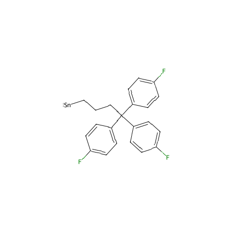 Fc1ccc(C(CC[CH2][Sn])(c2ccc(F)cc2)c2ccc(F)cc2)cc1